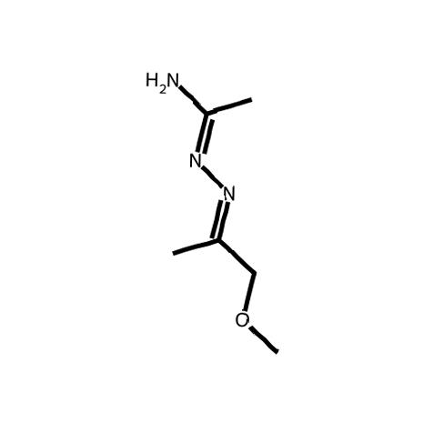 COC/C(C)=N/N=C(\C)N